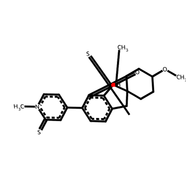 COC1CCC2(CC1)Cc1ccc(-c3ccn(C)c(=S)c3)cc1C21NC(=S)N(C)C1=O